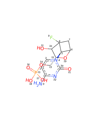 Nc1ccn([C@@H]2C3CC2(F)C(O)[C@@H](COP(=O)(O)O)O3)c(=O)n1